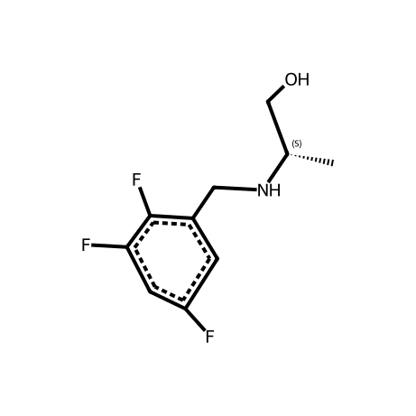 C[C@@H](CO)NCc1cc(F)cc(F)c1F